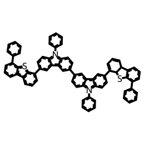 C1=CC2c3cccc(-c4ccccc4)c3SC2C(c2ccc3c(c2)c2cc(-c4ccc5c(c4)c4cc(-c6cccc7c6sc6c(-c8ccccc8)cccc67)ccc4n5-c4ccccc4)ccc2n3-c2ccccc2)=C1